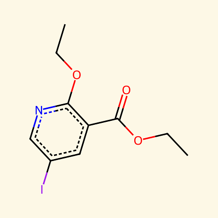 CCOC(=O)c1cc(I)cnc1OCC